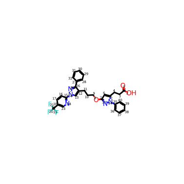 O=C(O)CCc1cc(OCCCc2cn(-c3ccc(C(F)(F)F)cn3)nc2-c2ccccc2)nn1-c1ccccc1